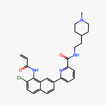 C=CC(=O)Nc1c(Cl)ccc2ccc(-c3cccc(C(=O)NCCC4CCN(C)CC4)n3)cc12